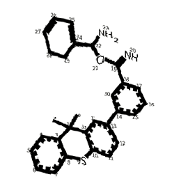 CC1(C)c2ccccc2Sc2ccc(-c3cccc(C(=N)OC(N)C4=CC=CCC4)c3)cc21